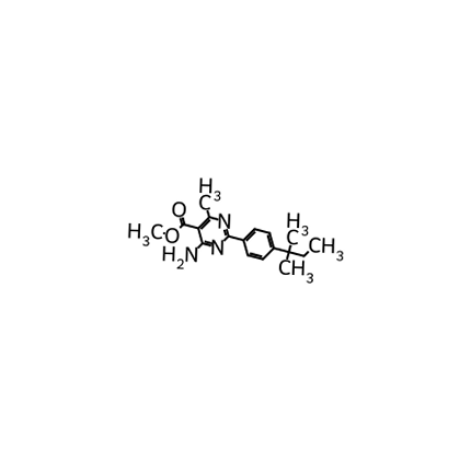 CCC(C)(C)c1ccc(-c2nc(C)c(C(=O)OC)c(N)n2)cc1